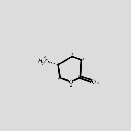 C[C@@H]1CCC(=O)OC1